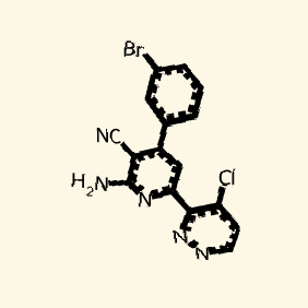 N#Cc1c(-c2cccc(Br)c2)cc(-c2nnccc2Cl)nc1N